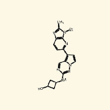 CCn1c(C)nc2ccc(-c3ccn4nc(NC5CC(O)C5)ncc34)nc21